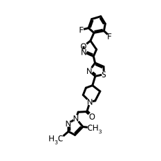 Cc1cc(C)n(CC(=O)N2CCC(c3nc(C4=NOC(c5c(F)cccc5F)C4)cs3)CC2)n1